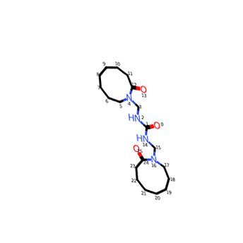 O=C(NCN1CCCCCCCC1=O)NCN1CCCCCCCC1=O